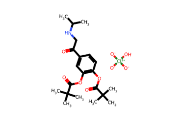 CC(C)NCC(=O)c1ccc(OC(=O)C(C)(C)C)c(OC(=O)C(C)(C)C)c1.[O-][Cl+3]([O-])([O-])O